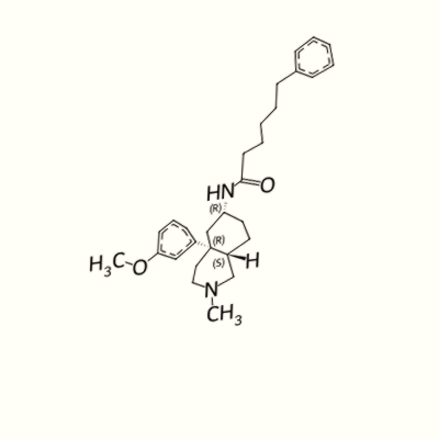 COc1cccc([C@@]23CCN(C)C[C@H]2CC[C@@H](NC(=O)CCCCCc2ccccc2)C3)c1